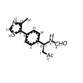 CC(=O)C[C@H](NC=O)c1ccc(-c2scnc2C)cc1